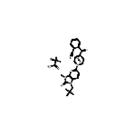 Cn1c(=O)n(CC(C)(C)C)c2ccc(N3CC4CCC3CN4C(=O)c3ccccc3C#N)nc21.O=C(O)C(F)(F)F